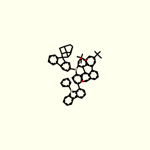 CC(C)(C)c1cc(-c2cccc3cccc(-c4ccccc4N(c4ccc(-c5cccc6c7ccccc7n(-c7ccccc7)c56)cc4)c4ccc5c(c4)C4(c6ccccc6-5)C5CC6CC7CC4C75C6)c23)cc(C(C)(C)C)c1